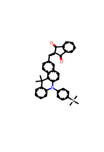 CC1(C)c2ccccc2N(c2ccc([Si](C)(C)C)cc2)c2ccc3cc(C=C4C(=O)c5ccccc5C4=O)ccc3c21